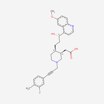 COc1ccc2nccc([C@@H](O)CC[C@@H]3CCN(CC#Cc4ccc(C)c(F)c4)C[C@@H]3CC(=O)O)c2c1